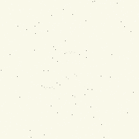 CNC(=O)c1nn(C(Cc2ccccc2)C(=O)NC)cc(O)c1=O